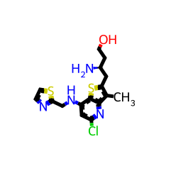 Cc1c(C[C@@H](N)CCO)sc2c(NCc3nccs3)cc(Cl)nc12